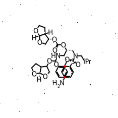 CC(C)CN(C[C@@H](OC(=O)O[C@@H]1CO[C@@H]2OCC[C@@H]21)[C@H](Cc1ccccc1)NC(=O)OC1CO[C@H]2OCCC12)S(=O)(=O)c1ccc(N)cc1